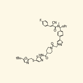 CCCC(c1ccc(-c2cnn(CC(=O)N3CCC(C(=O)Nc4ncc(SCc5ncc(C(C)(C)C)o5)s4)CC3)c2)cc1)N(C)C(=O)/C(C#N)=C/c1ccc(F)cc1